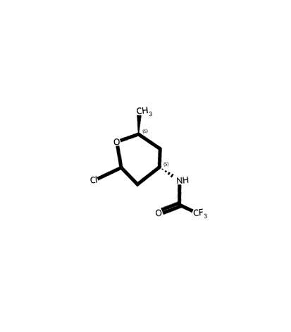 C[C@H]1C[C@H](NC(=O)C(F)(F)F)CC(Cl)O1